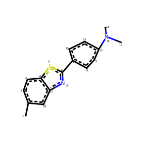 Cc1ccc2sc(-c3ccc(N(C)C)cc3)nc2c1